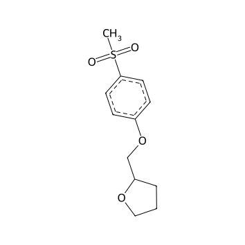 CS(=O)(=O)c1ccc(OCC2CCCO2)cc1